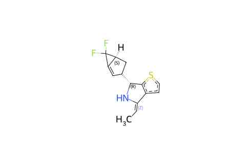 C/C=C1\N[C@H](C2C=C3[C@H](C2)C3(F)F)c2sccc21